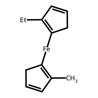 CCC1=[C]([Fe][C]2=C(C)C=CC2)CC=C1